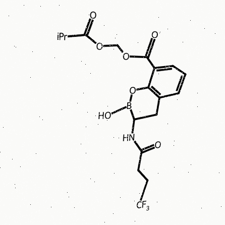 CC(C)C(=O)OCOC(=O)c1cccc2c1OB(O)C(NC(=O)CCC(F)(F)F)C2